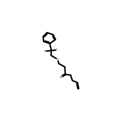 C=CCCC(=O)CCOCC(F)(F)c1ccccc1